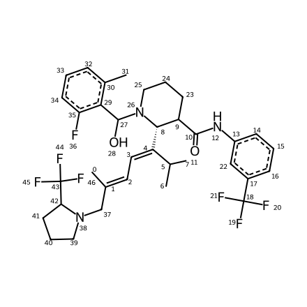 C/C(=C\C=C(/C(C)C)[C@H]1C(C(=O)Nc2cccc(C(F)(F)F)c2)CCCN1C(O)c1c(C)cccc1F)CN1CCCC1C(F)(F)F